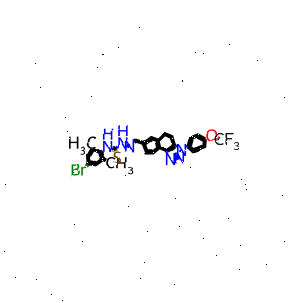 Cc1cc(Br)cc(C)c1NC(=S)N/N=C/c1ccc2c(c1)CCc1c-2nnn1-c1ccc(OC(F)(F)F)cc1